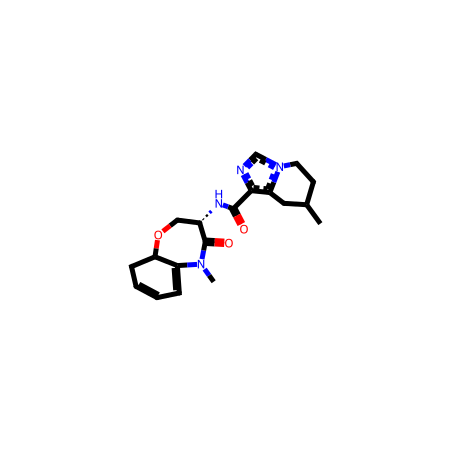 CC1CCn2cnc(C(=O)N[C@H]3COC4CC=CC=C4N(C)C3=O)c2C1